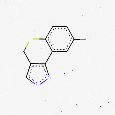 Clc1ccc2c(c1)-c1[nH]ncc1CS2